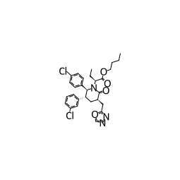 CCCCOC(=O)[C@H](CC)N1C(=O)[C@@H](Cc2nnco2)C[C@H](c2cccc(Cl)c2)[C@H]1c1ccc(Cl)cc1